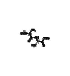 CNC(=O)[C@H](C)NC(=O)[C@H](C)NC